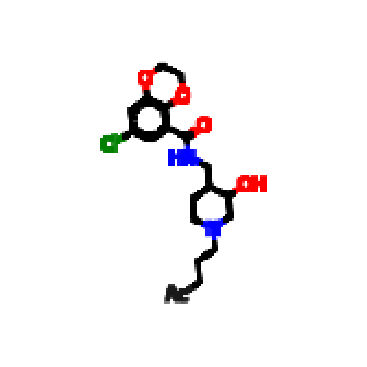 CC(=O)CCCN1CCC(CNC(=O)c2cc(Cl)cc3c2OCCO3)C(O)C1